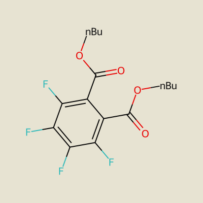 CCCCOC(=O)c1c(F)c(F)c(F)c(F)c1C(=O)OCCCC